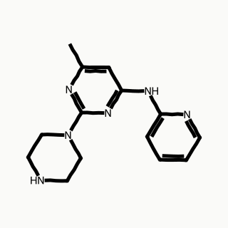 Cc1cc(Nc2ccccn2)nc(N2CCNCC2)n1